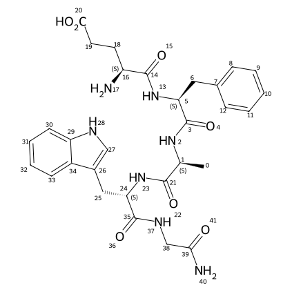 C[C@H](NC(=O)[C@H](Cc1ccccc1)NC(=O)[C@@H](N)CCC(=O)O)C(=O)N[C@@H](Cc1c[nH]c2ccccc12)C(=O)NCC(N)=O